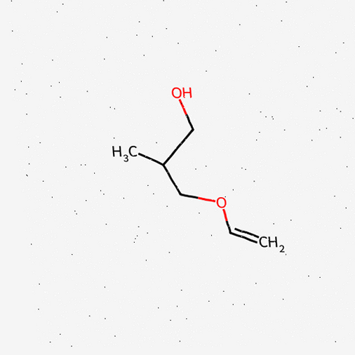 C=COCC(C)CO